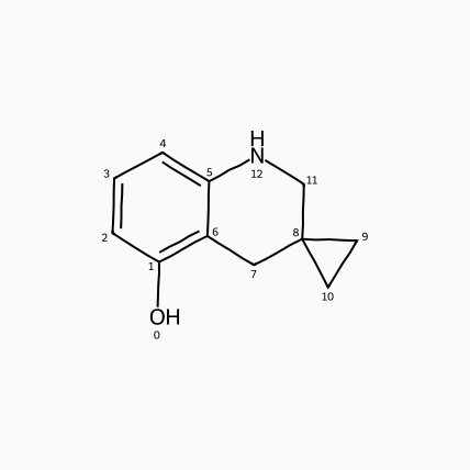 Oc1cccc2c1CC1(CC1)CN2